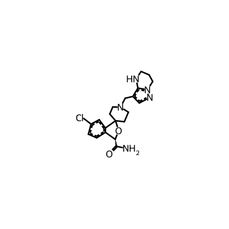 NC(=O)[C@@H]1OC2(CCN(Cc3cnn4c3NCCC4)CC2)c2cc(Cl)ccc21